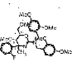 COC[C@H]1OC(N(Cc2ccc(OC)cc2OC)Cc2ccc(OC)cc2OC)=N[C@](C)(c2ccccc2F)[C@H]1OC